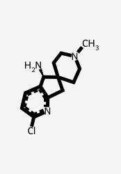 CN1CCC2(CC1)Cc1nc(Cl)ccc1[C@H]2N